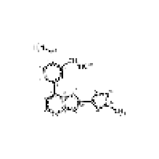 Cc1cc(-c2ccnc3cc(-c4cnn(C)c4)nn23)ccc1CN.Cl